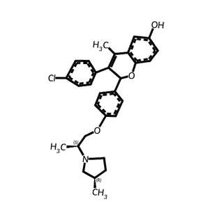 CC1=C(c2ccc(Cl)cc2)C(c2ccc(OC[C@H](C)N3CC[C@@H](C)C3)cc2)Oc2ccc(O)cc21